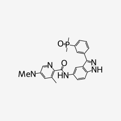 CNc1cnc(C(=O)Nc2ccc3[nH]nc(-c4cccc(P(C)(C)=O)c4)c3c2)c(C)c1